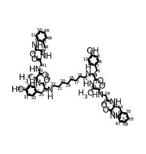 C[C@@H](NC(=O)[C@H](Cc1ccc(O)cc1)NCCCCCCCCN[C@@H](Cc1ccc(O)cc1)C(=O)N[C@H](C)C(=O)NCC(=O)N[C@@H](Cc1ccccc1)C(N)=O)C(=O)NCC(=O)N[C@@H](Cc1ccccc1)C(N)=O